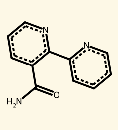 NC(=O)c1cccnc1-c1ccccn1